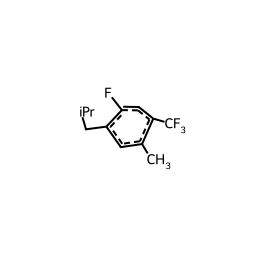 Cc1cc(CC(C)C)c(F)cc1C(F)(F)F